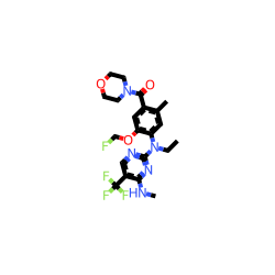 CCN(c1ncc(C(F)(F)F)c(NC)n1)c1cc(C)c(C(=O)N2CCOCC2)cc1OCF